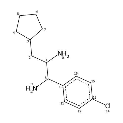 NC(CC1CCCC1)C(N)c1ccc(Cl)cc1